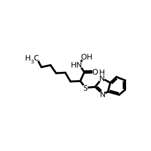 CCCCCCC(Sc1nc2ccccc2[nH]1)C(=O)NO